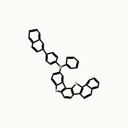 c1ccc(N(c2ccc(-c3ccc4ccccc4c3)cc2)c2ccc3sc4ccc5c6ccc7ccccc7c6sc5c4c3c2)cc1